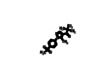 Cc1c(C(=O)C(C)(C)C)cnn1-c1ccc(S(C)(=O)=O)cc1